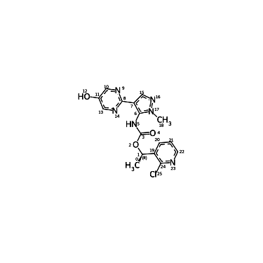 C[C@@H](OC(=O)Nc1c(-c2ncc(O)cn2)cnn1C)c1cccnc1Cl